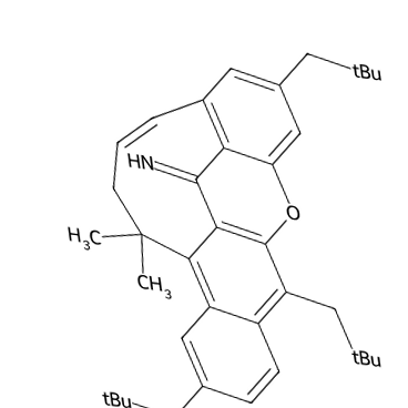 CC(C)(C)Cc1cc2c3c(=N)c4c(c5cc(CC(C)(C)C)ccc5c(CC(C)(C)C)c4oc3c1)C(C)(C)C/C=C\2